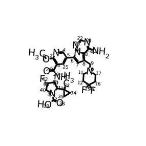 COc1ncc(-c2cc(CN3CCC(F)(F)CC3)c3c(N)ncnn23)cc1C(=O)N[C@@H]1C(C2(C)CC2)N(C(=O)O)C[C@@H]1F